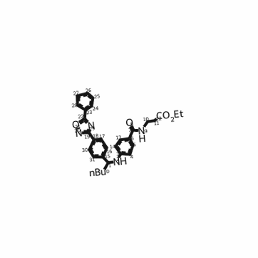 CCCCC(Nc1ccc(C(=O)NCCC(=O)OCC)cc1)c1ccc(-c2noc(-c3ccccc3)n2)cc1